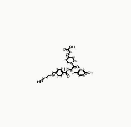 N=CCCNCc1ccc(C(=O)N[C@@H](Cc2ccc(O)cc2)C(=O)N2CCC(OCC(=O)O)CC2)cc1